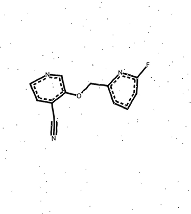 N#Cc1ccncc1OCc1cccc(F)n1